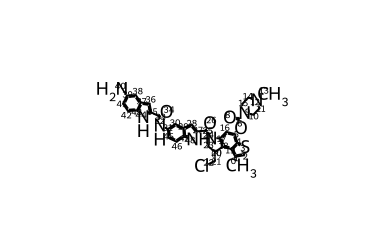 Cc1csc2c(OC(=O)N3CCN(C)CC3)cc3c(c12)[C@@H](CCl)CN3C(=O)c1cc2cc(NC(=O)c3cc4cc(N)ccc4[nH]3)ccc2[nH]1